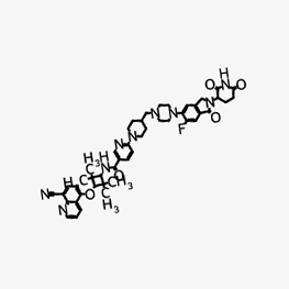 CC1(C)C(NC(=O)c2ccc(N3CCC(CN4CCN(c5cc6c(cc5F)C(=O)N(C5CCC(=O)NC5=O)C6)CC4)CC3)nc2)C(C)(C)C1Oc1ccc(C#N)c2ncccc12